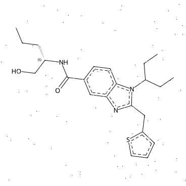 CCC[C@@H](CO)NC(=O)c1ccc2c(c1)nc(Cc1cccs1)n2C(CC)CC